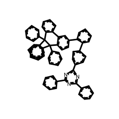 c1ccc(-c2nc(-c3ccccc3)nc(-c3ccc(-c4ccccc4-c4ccc5c(c4)-c4ccccc4C(c4ccccc4)(c4ccccc4)C5(c4ccccc4)c4ccccc4)cc3)n2)cc1